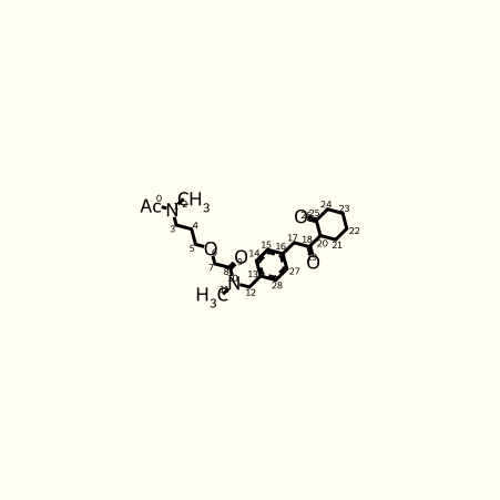 CC(=O)N(C)CCCOCC(=O)N(C)Cc1ccc(CC(=O)C2CCCCC2=O)cc1